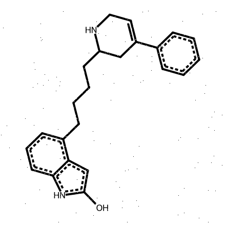 Oc1cc2c(CCCCC3CC(c4ccccc4)=CCN3)cccc2[nH]1